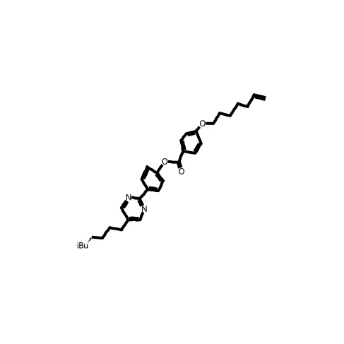 C=CCCCCCOc1ccc(C(=O)Oc2ccc(-c3ncc(CCCC[C@@H](C)CC)cn3)cc2)cc1